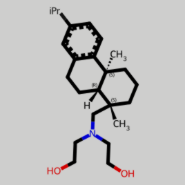 CC(C)c1ccc2c(c1)CC[C@H]1[C@@](C)(CN(CCO)CCO)CCC[C@]21C